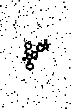 C[C@@H]1CC(Cn2c(=O)n(C3=CCCCC3)c3ncc(-c4cnc5[nH]ccc5c4)cc32)C[C@H](C)O1